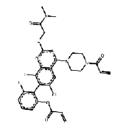 C=CC(=O)Oc1cccc(F)c1-c1c(Cl)cc2c(N3CCN(C(=O)C=C)CC3)nc(OCC(=O)N(C)C)nc2c1F